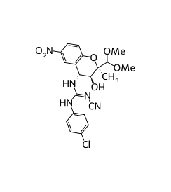 COC(OC)[C@]1(C)Oc2ccc([N+](=O)[O-])cc2[C@@H](NC(=NC#N)Nc2ccc(Cl)cc2)[C@@H]1O